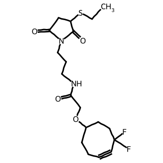 CCSC1CC(=O)N(CCCNC(=O)COC2CCC#CC(F)(F)CC2)C1=O